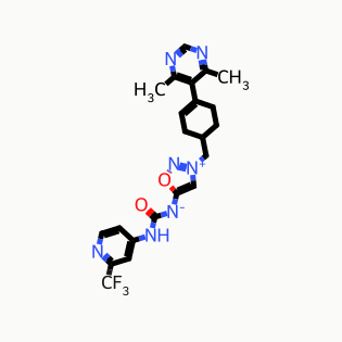 Cc1ncnc(C)c1C1=CCC(C[n+]2cc([N-]C(=O)Nc3ccnc(C(F)(F)F)c3)on2)CC1